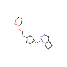 c1ccc2c(Cc3ccc(CCOC4CCCCO4)cc3)nccc2c1